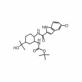 CC(C)(C)OC(=O)NC1CC(C(C)(C)O)CCC1NC(=O)c1cc2cc(Cl)ccc2[nH]1